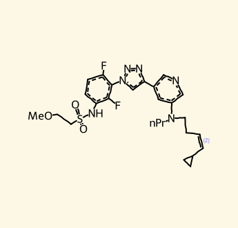 CCCN(CC/C=C\C1CC1)c1cncc(-c2cn(-c3c(F)ccc(NS(=O)(=O)CCOC)c3F)nn2)c1